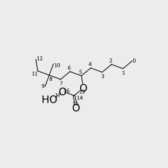 CCCCCC(CCC(C)(C)CC)OC(=O)OO